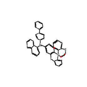 c1ccc(-c2ccc(N(c3ccc4c(c3)Sc3ccccc3[Si]43c4ccccc4Sc4ccccc43)c3cccc4ccccc34)cc2)cc1